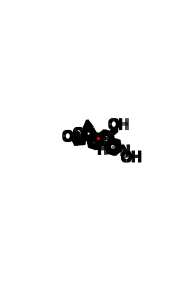 CC[C@]12CCC3C(CC(CO)C4=C/C(=N/O)CC[C@@H]43)C1C1CC1[C@@]21C=CC(=O)O1